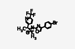 CC(c1ccc(C(F)(F)F)nc1)S(C)(=O)=Nc1nc(-c2ccc(Br)cc2)co1